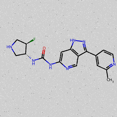 Cc1cc(-c2n[nH]c3cc(NC(=O)N[C@@H]4CNC[C@H]4F)ncc23)ccn1